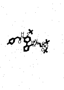 Cc1ccc(CC(=O)Nc2cc(-c3ccccc3-c3nnn(CCP(=O)(OC(C)(C)C)OC(C)(C)C)n3)ccc2SC(C)(C)C)cc1